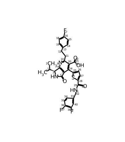 CC(C)[C@@H]1NC(=O)c2c1nc(CCc1ccc(F)cc1)c(C(=O)O)c2-c1ccc(C(=O)NCc2ccc(F)c(F)c2)s1